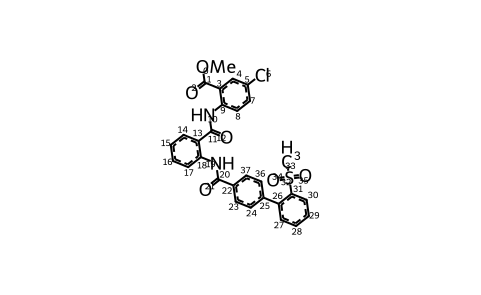 COC(=O)c1cc(Cl)ccc1NC(=O)c1ccccc1NC(=O)c1ccc(-c2ccccc2S(C)(=O)=O)cc1